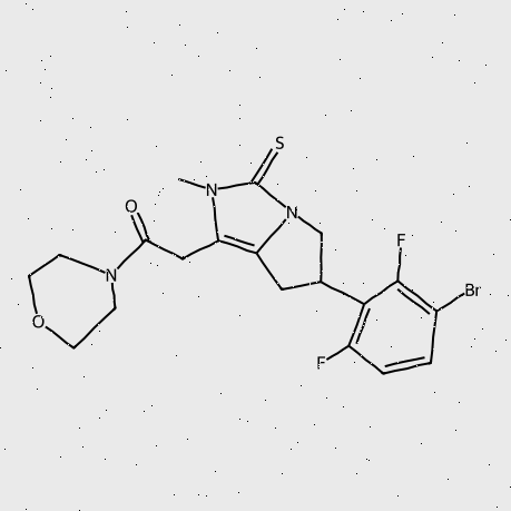 Cn1c(CC(=O)N2CCOCC2)c2n(c1=S)CC(c1c(F)ccc(Br)c1F)C2